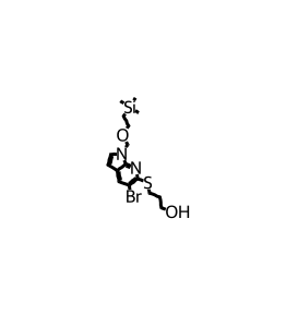 C[Si](C)(C)CCOCn1ccc2cc(Br)c(SCCCO)nc21